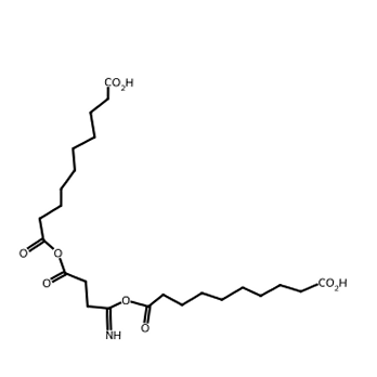 N=C(CCC(=O)OC(=O)CCCCCCCCC(=O)O)OC(=O)CCCCCCCCC(=O)O